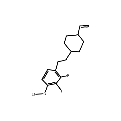 C=CC1CCC(CCc2ccc(OCC)c(F)c2F)CC1